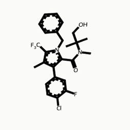 Cc1c(-c2ccc(Cl)c(F)c2)c(C(=O)N(C)C(C)(C)CO)n(Cc2ccccc2)c1C(F)(F)F